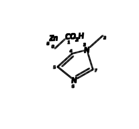 CC(=O)O.Cn1ccnc1.[Zn]